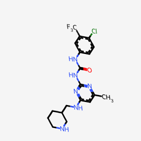 Cc1cc(NCC2CCCNC2)nc(NC(=O)Nc2ccc(Cl)c(C(F)(F)F)c2)n1